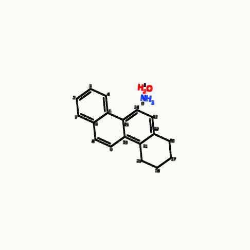 N.O.c1ccc2c(c1)ccc1c3c(ccc12)CCCC3